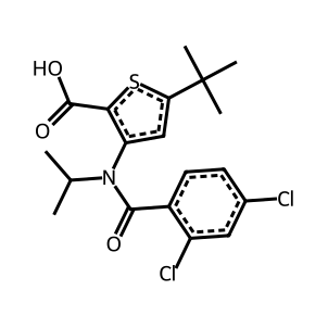 CC(C)N(C(=O)c1ccc(Cl)cc1Cl)c1cc(C(C)(C)C)sc1C(=O)O